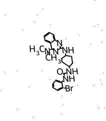 CN(C)c1nc(NC2CCC(NC(=O)Nc3ccccc3Br)CC2)nc2ccccc12